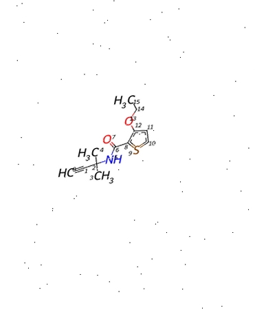 C#CC(C)(C)NC(=O)c1sccc1OCC